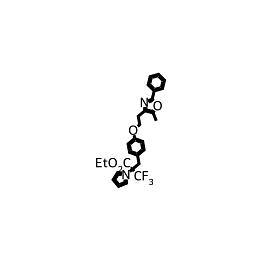 CCOC(=O)[C@](Cc1ccc(OCCc2nc(-c3ccccc3)oc2C)cc1)(n1cccc1)C(F)(F)F